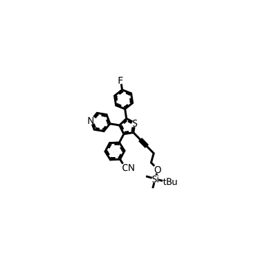 CC(C)(C)[Si](C)(C)OCCC#Cc1sc(-c2ccc(F)cc2)c(-c2ccncc2)c1-c1cccc(C#N)c1